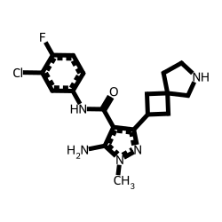 Cn1nc(C2CC3(CCNC3)C2)c(C(=O)Nc2ccc(F)c(Cl)c2)c1N